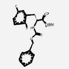 COC(=O)[C@@H](Cc1cc(F)ccc1F)NC(=O)OCc1ccccc1